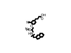 CC(C)(Cc1ccc2ccccc2c1)NC[C@@H](O)COc1ccc(CCCC(=O)O)cc1C#N.[Na]